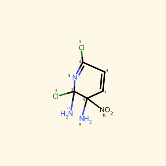 NC1(Cl)N=C(Cl)C=CC1(N)[N+](=O)[O-]